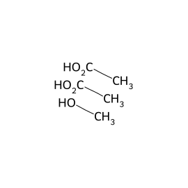 CC(=O)O.CC(=O)O.CO